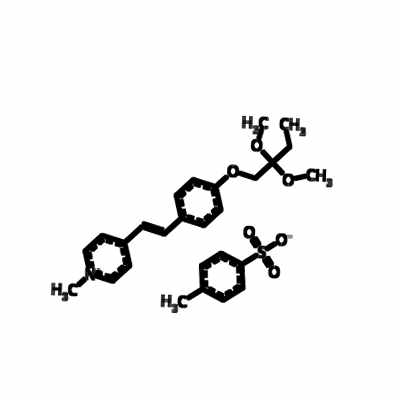 CCC(COc1ccc(C=Cc2cc[n+](C)cc2)cc1)(OC)OC.Cc1ccc(S(=O)(=O)[O-])cc1